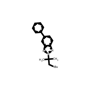 CC(C)(C)CC(C)(C)n1nc2ccc(-c3ccccc3)cc2n1